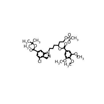 COc1cc(C(=O)OC(CCCn2ncc3c(Cl)cc(C(=O)OC(C)(C)C)cc32)CCOS(C)(=O)=O)cc(OC)c1OC